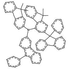 CC1(C)c2ccccc2-c2ccc(N(c3ccc4c(c3)c3ccccc3n4-c3ccccc3)c3cc(C4(c5ccccc5)c5ccccc5-c5ccccc54)cc4c3-c3ccccc3C4(C)C)cc21